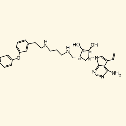 C=Cc1cn([C@@H]2C[C@H](CNCCCNCCc3cccc(Oc4ccccc4)c3)[C@@H](O)[C@H]2O)c2ncnc(N)c12